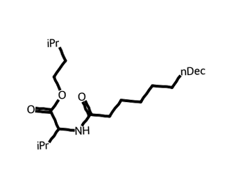 CCCCCCCCCCCCCCCC(=O)NC(C(=O)OCCC(C)C)C(C)C